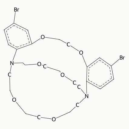 Brc1ccc2c(c1)OCCOc1cc(Br)ccc1N1CCOCCOCCN2CCOCCOCC1